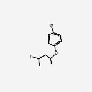 CC(CC(F)F)Oc1ccc(Br)cc1